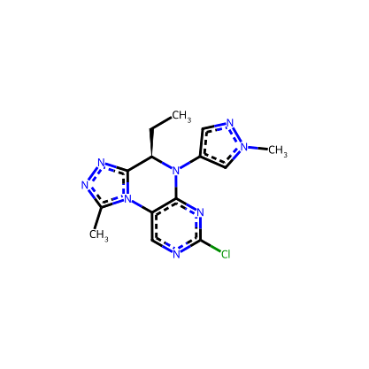 CC[C@@H]1c2nnc(C)n2-c2cnc(Cl)nc2N1c1cnn(C)c1